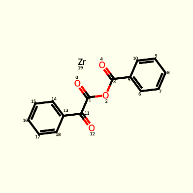 O=C(OC(=O)c1ccccc1)C(=O)c1ccccc1.[Zr]